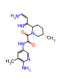 Cc1cc(NC(=O)C(=O)N2C[C@@H](C)CCC2C(=N)/C=C\N)cnc1N